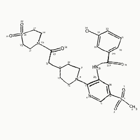 CS(=O)(=O)c1cnc(N2CCC(CC(=O)N3CCS(=O)(=O)CC3)CC2)c(NC(=O)c2cccc(Cl)c2)c1